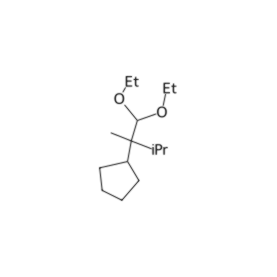 CCOC(OCC)C(C)(C(C)C)C1CCCC1